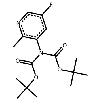 Cc1ncc(F)cc1N(C(=O)OC(C)(C)C)C(=O)OC(C)(C)C